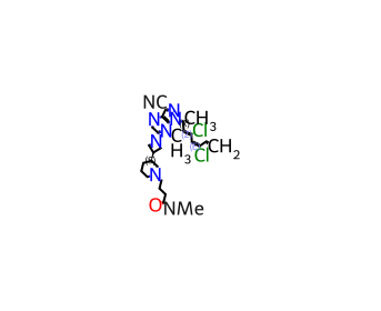 C=C/C(Cl)=C\C(Cl)=C(/C)[C@@H](C)n1nc(C#N)c2ncc(N3CC([C@@H]4CCCN(CCCC(=O)NC)C4)C3)nc21